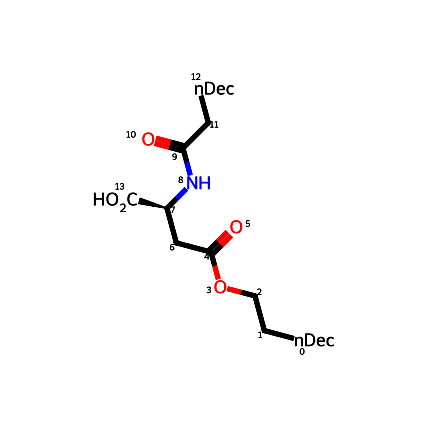 CCCCCCCCCCCCOC(=O)C[C@H](NC(=O)CCCCCCCCCCC)C(=O)O